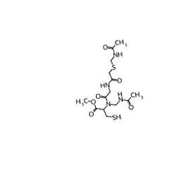 COC(=O)C(CS)N(CNC(C)=O)C(=O)CNC(=O)CSCNC(C)=O